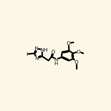 COc1cc(NC(=O)Cc2nc(I)n[nH]2)cc(OC)c1OC